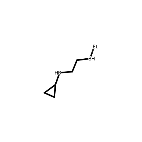 CCBCCBC1CC1